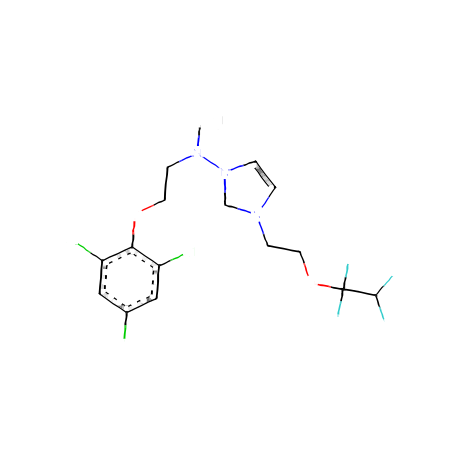 O=C(O)N(CCOc1c(Cl)cc(Cl)cc1Cl)N1C=CN(CCOC(F)(F)C(F)F)C1